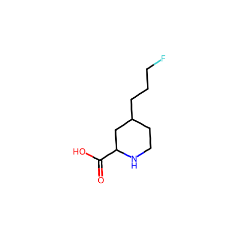 O=C(O)C1CC(CCCF)CCN1